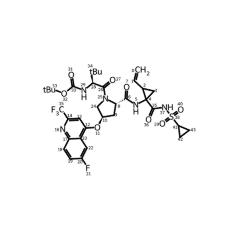 C=CC1CC1(NC(=O)[C@@H]1C[C@@H](Oc2cc(C(F)(F)F)nc3ccc(F)cc23)CN1C(=O)[C@@H](NC(=O)OC(C)(C)C)C(C)(C)C)C(=O)NS(=O)(=O)C1CC1